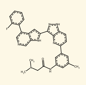 Cc1cc(NC(=O)CN(C)C)cc(-c2ccc3[nH]nc(-c4cc5c(-c6ccccc6F)cncc5[nH]4)c3n2)c1